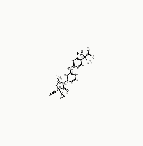 C[C@@H]1C[C@@](C#N)(C2CC2)C(=O)N1c1ccnc(Nc2ccc(C(C)(C)C(=O)O)cc2)n1